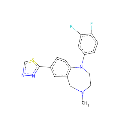 CN1CCN(c2ccc(F)c(F)c2)c2ccc(-c3nncs3)cc2C1